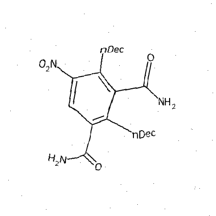 CCCCCCCCCCc1c(C(N)=O)cc([N+](=O)[O-])c(CCCCCCCCCC)c1C(N)=O